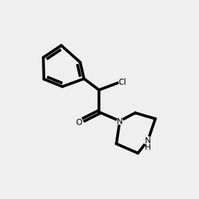 O=C(C(Cl)c1ccccc1)N1CCNCC1